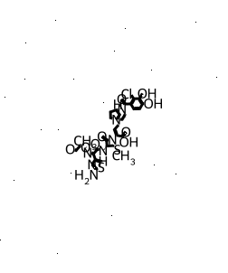 CS[C@@H]1[C@H](NC(=O)/C(=N\O[C@@H](C)C=O)c2csc(N)n2)C(=O)N1/C(=C/C[N@@+]12CC[C@@H](C1)N(C(=O)c1ccc(O)c(O)c1Cl)CC2)C(=O)O